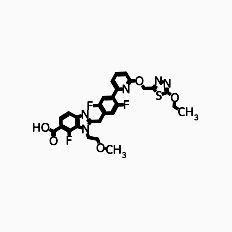 CCOc1nnc(COc2cccc(-c3cc(F)c(Cc4nc5ccc(C(=O)O)c(F)c5n4CCOC)cc3F)n2)s1